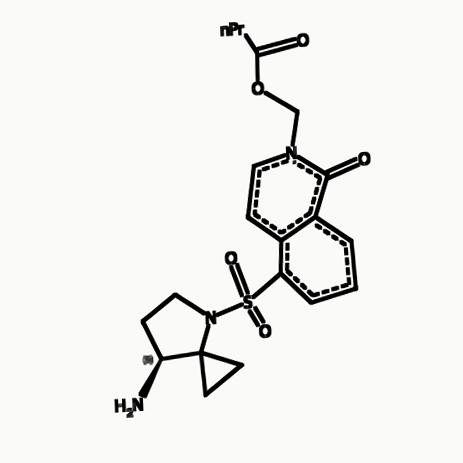 CCCC(=O)OCn1ccc2c(S(=O)(=O)N3CC[C@H](N)C34CC4)cccc2c1=O